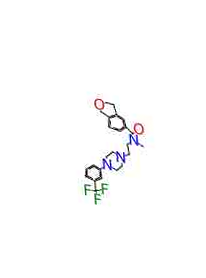 CN(CCN1CCN(c2cccc(C(F)(F)F)c2)CC1)C(=O)c1ccc2c(c1)CCOC2